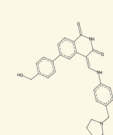 O=C1NC(=O)c2ccc(-c3ccc(CO)cc3)cc2C1=CNc1ccc(CN2CCCC2)cc1